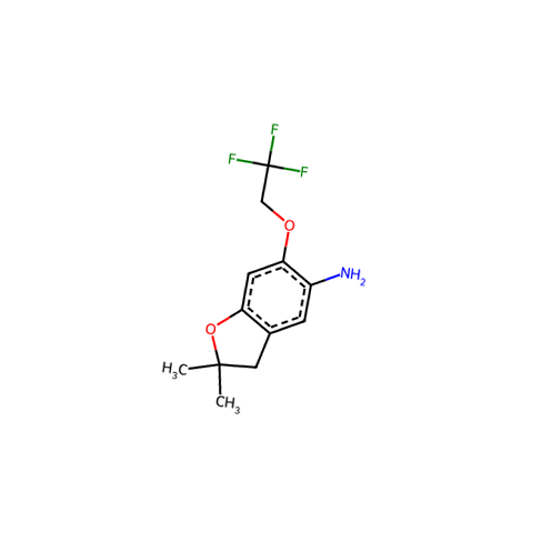 CC1(C)Cc2cc(N)c(OCC(F)(F)F)cc2O1